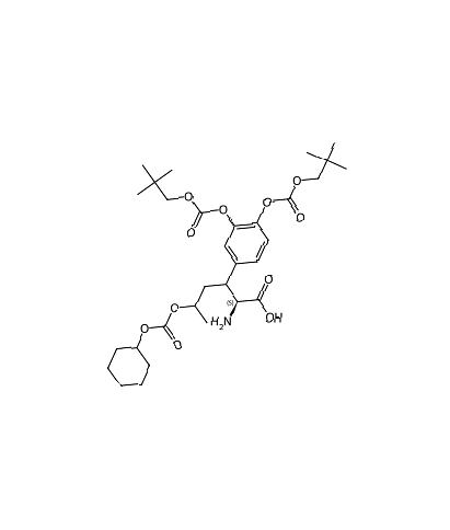 CC(CC(c1ccc(OC(=O)OCC(C)(C)C)c(OC(=O)OCC(C)(C)C)c1)[C@H](N)C(=O)O)OC(=O)OC1CCCCC1